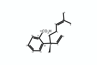 C=C[C@@](C)(CCC=C(C)C)c1ccccc1C(=O)O